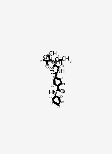 C=C(C)C[C@H](NC(=O)c1ccc(C(=O)Nc2ccccc2)cc1)C(=O)N[C@@H]1C(=O)CO[C@@H]1C